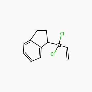 C=[CH][Zr]([Cl])([Cl])[CH]1CCc2ccccc21